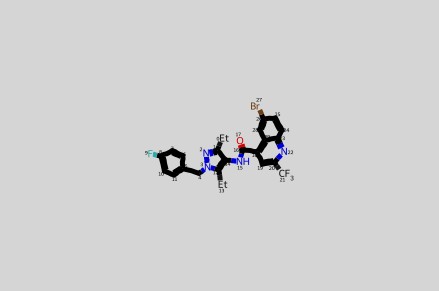 CCc1nn(Cc2ccc(F)cc2)c(CC)c1NC(=O)c1cc(C(F)(F)F)nc2ccc(Br)cc12